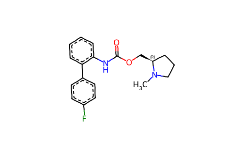 CN1CCC[C@@H]1COC(=O)Nc1ccccc1-c1ccc(F)cc1